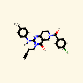 C#CCCn1c(N(CC)c2ccc(C(F)(F)F)cc2)nc2c(c1=O)CN(C(=O)c1ccc(Cl)cc1)CC2